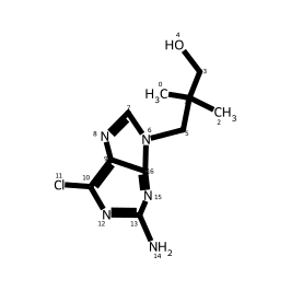 CC(C)(CO)Cn1cnc2c(Cl)nc(N)nc21